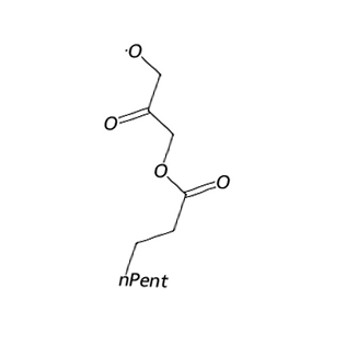 CCCCCCCC(=O)OCC(=O)C[O]